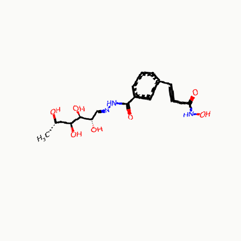 C[C@H](O)[C@H](O)[C@@H](O)[C@@H](O)/C=N/NC(=O)c1cccc(/C=C/C(=O)NO)c1